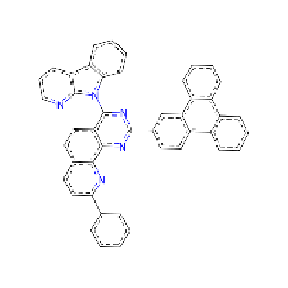 c1ccc(-c2ccc3ccc4c(-n5c6ccccc6c6cccnc65)nc(-c5ccc6c7ccccc7c7ccccc7c6c5)nc4c3n2)cc1